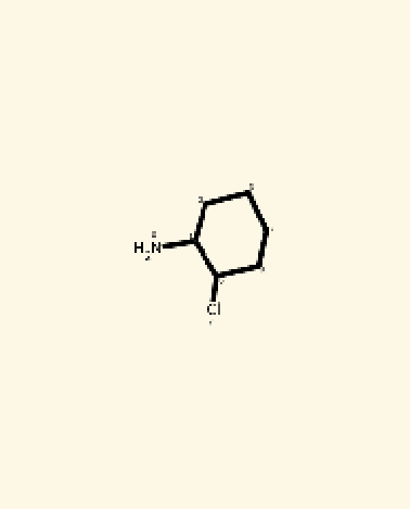 NC1CCCCC1Cl